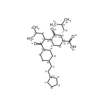 CC(C)CC(C(=O)N1CCC(CCN2CCCC2)CC1)N1CCN(C(=O)O)[C@@H](CC(C)C)C1=O